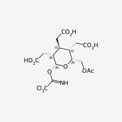 CC(=O)OC[C@@H]1O[C@H](OC(=N)C(Cl)(Cl)Cl)[C@H](CC(=O)O)[C@@H](CC(=O)O)[C@@H]1CC(=O)O